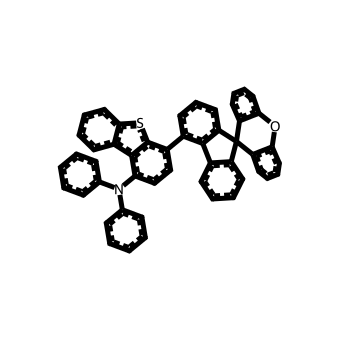 c1ccc(N(c2ccccc2)c2ccc(-c3cccc4c3-c3ccccc3C43c4ccccc4Oc4ccccc43)c3sc4ccccc4c23)cc1